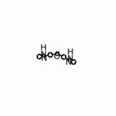 c1ccc2[nH]c(-c3ccc(-c4ccc(-c5ccc(-c6nc7ccccc7[nH]6)cc5)o4)cc3)nc2c1